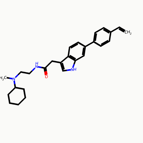 C=Cc1ccc(-c2ccc3c(CC(=O)NCCN(C)C4CCCCC4)c[nH]c3c2)cc1